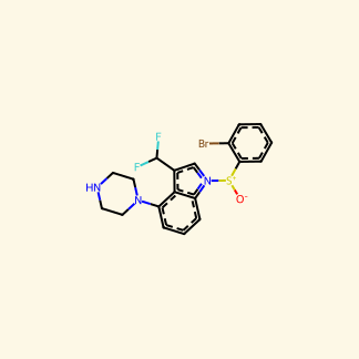 [O-][S+](c1ccccc1Br)n1cc(C(F)F)c2c(N3CCNCC3)cccc21